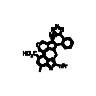 CCCc1nc2c(C)cc(C(=O)O)nc2n1Cc1c2ccocc-2c(Br)c1-c1ccccc1-c1nnn[nH]1